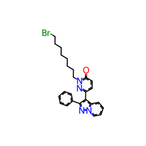 O=c1ccc(-c2c(-c3ccccc3)nn3ccccc23)nn1CCCCCCCCBr